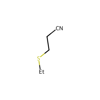 [CH2]CSCCC#N